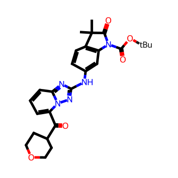 CC(C)(C)OC(=O)N1C(=O)C(C)(C)c2ccc(Nc3nc4cccc(C(=O)C5CCOCC5)n4n3)cc21